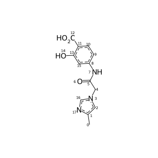 Cc1cn(CC(=O)Nc2ccc(C(=O)O)c(O)c2)cn1